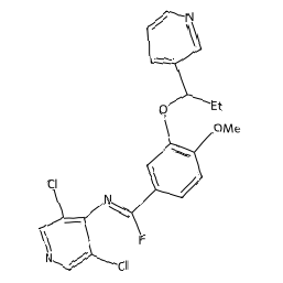 CCC(Oc1cc(C(F)=Nc2c(Cl)cncc2Cl)ccc1OC)c1cccnc1